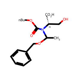 CCCCOC(=O)N(C(C)OCc1ccccc1)[C@@H](CO)C(=O)O